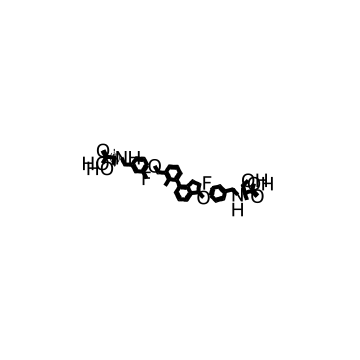 Cc1c(COc2ccc(CN[C@@](C)(CO)C(=O)O)cc2F)cccc1-c1cccc2c1CCC2Oc1ccc(CNC(C)(CO)C(=O)O)cc1F